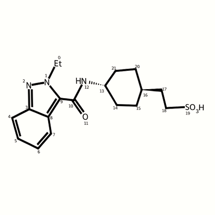 CCn1nc2ccccc2c1C(=O)N[C@H]1CC[C@H](CCS(=O)(=O)O)CC1